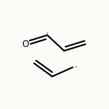 C=C[C]=O.[CH2]C=C